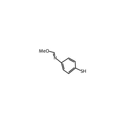 COC=Nc1ccc(S)cc1